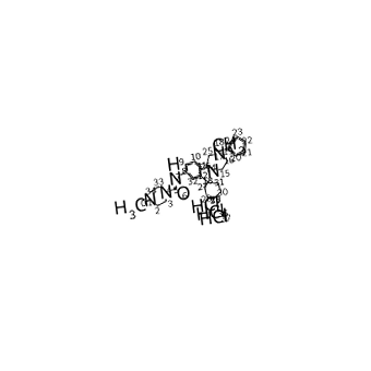 CN1CCN(C(=O)Nc2cccc(C3(N4CC[N+](C)(c5ccccc5)CC4)CCCCC3)c2)CC1.Cl.Cl.Cl